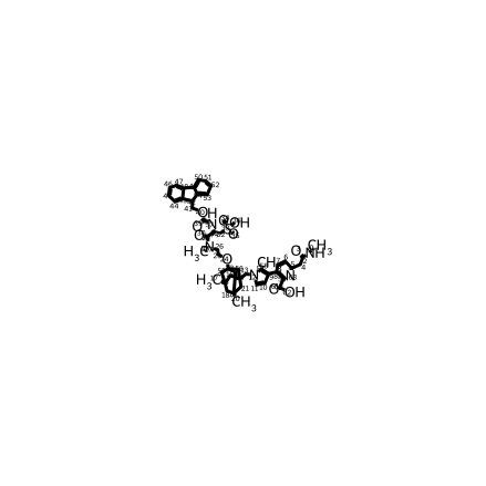 CNC(=O)Cc1ccc(-c2ccn(CC34CC5(C)CC(C)(C3)CC(OCCN(C)C(=O)[C@H](CS(=O)(=O)O)NC(=O)OCC3c6ccccc6-c6ccccc63)(C5)C4)c2C)c(C(=O)O)n1